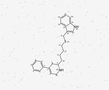 C1=C(c2ccccc2)CC(CCCCSCc2c[nH]c3ccccc23)NC1